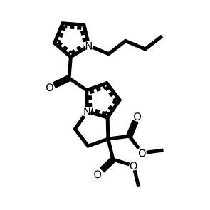 CCCCn1cccc1C(=O)c1ccc2n1CCC2(C(=O)OC)C(=O)OC